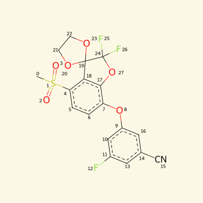 CS(=O)(=O)c1ccc(Oc2cc(F)cc(C#N)c2)c2c1C1(OCCO1)C(F)(F)O2